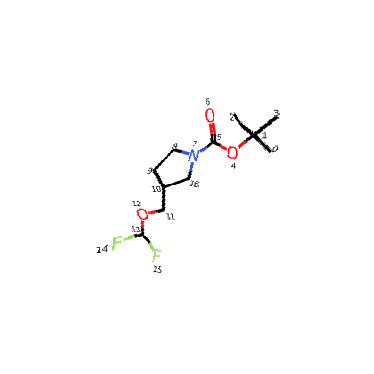 CC(C)(C)OC(=O)N1CCC(COC(F)F)C1